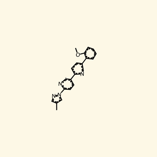 COc1ccccc1-c1ccc(-c2[c]nc(-n3cc(C)cn3)cc2)nc1